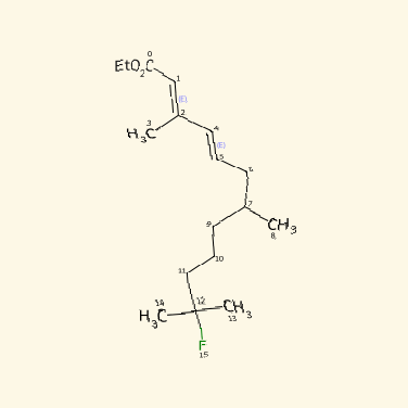 CCOC(=O)/C=C(C)/C=C/CC(C)CCCC(C)(C)F